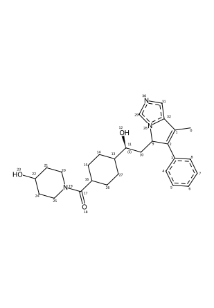 CC1=C(c2ccccc2)C(C[C@H](O)C2CCC(C(=O)N3CCC(O)CC3)CC2)n2cncc21